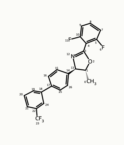 C[C@H]1OC(c2c(F)cccc2F)=N[C@@H]1c1ccc(-c2cccc(C(F)(F)F)c2)cc1